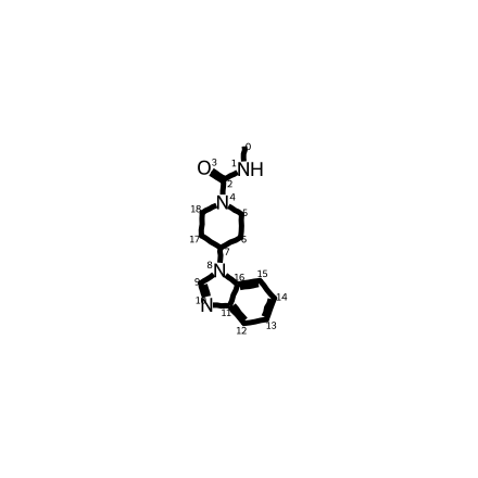 CNC(=O)N1CCC(n2cnc3ccccc32)CC1